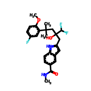 CNC(=O)c1ccc2[nH]c(CC(O)(CC(C)(C)c3cc(F)ccc3OC)C(F)F)cc2c1